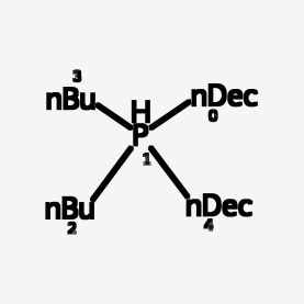 CCCCCCCCCC[PH](CCCC)(CCCC)CCCCCCCCCC